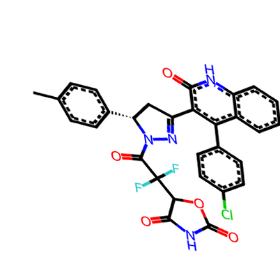 Cc1ccc([C@@H]2CC(c3c(-c4ccc(Cl)cc4)c4ccccc4[nH]c3=O)=NN2C(=O)C(F)(F)C2OC(=O)NC2=O)cc1